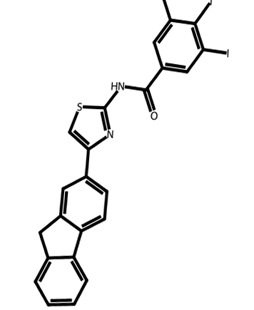 O=C(Nc1nc(-c2ccc3c(c2)Cc2ccccc2-3)cs1)c1cc(I)c(I)c(I)c1